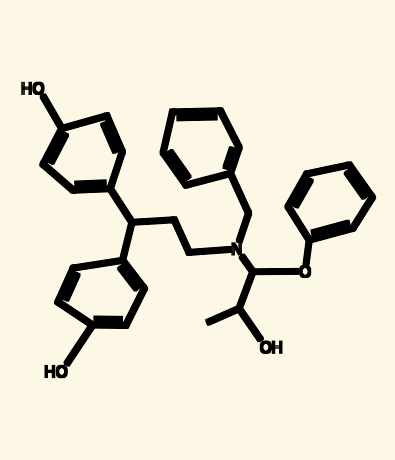 CC(O)C(Oc1ccccc1)N(CCC(c1ccc(O)cc1)c1ccc(O)cc1)Cc1ccccc1